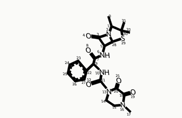 CC1N2C(=O)C(NC(=O)C(NC(=O)N3CCN(C)C(=O)C3=O)c3ccccc3)C2SC1(C)C